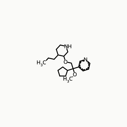 CCCC1CCNCC1OCC(OC)(c1cccnc1)C1CCCC1